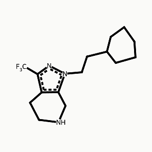 FC(F)(F)c1nn(CCC2CCCCC2)c2c1CCNC2